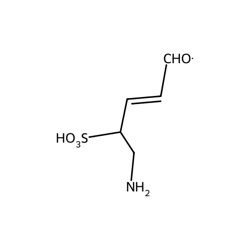 NCC(C=C[C]=O)S(=O)(=O)O